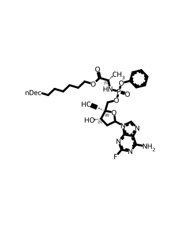 C#C[C@]1(COP(=O)(N[C@@H](C)C(=O)OCCCCCCCCCCCCCCCC)Oc2ccccc2)OC(n2cnc3c(N)nc(F)nc32)C[C@@H]1O